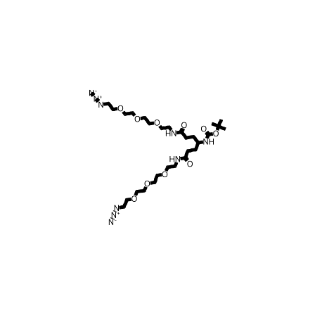 CC(C)(C)OC(=O)NC(CCC(=O)NCCOCCOCCOCCN=[N+]=[N-])CCC(=O)NCCOCCOCCOCCN=[N+]=[N-]